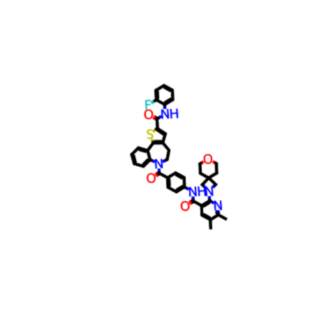 Cc1cc(C(=O)Nc2ccc(C(=O)N3CCc4cc(C(=O)Nc5ccccc5F)sc4-c4ccccc43)cc2)c(N2CC3(CCOCC3)C2)nc1C